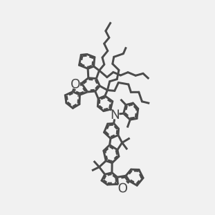 CCCCCCCC1(CCCCCCC)c2ccccc2-c2c1c1c(c3c2oc2ccccc23)-c2ccc(N(c3ccc4c(c3)C(C)(C)c3cc5c(cc3-4)C(C)(C)c3ccc4oc6ccccc6c4c3-5)c3c(C)cccc3C)cc2C1(CCCCCCC)CCCCCCC